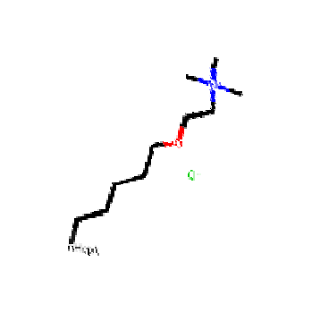 CCCCCCCCCCCCOCC[N+](C)(C)C.[Cl-]